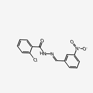 O=C(N/N=C/c1cccc([N+](=O)[O-])c1)c1ccccc1Cl